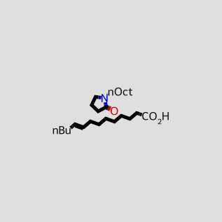 CCCCC=CCCCCCCCC(=O)O.CCCCCCCCN1CCCC1=O